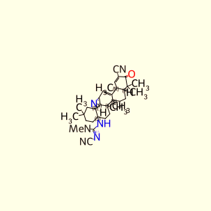 CN/C(=N\C#N)N[C@]12CCC(C)(C)C[C@H]1[C@@]13N=C1C=C1[C@@]4(C)C=C(C#N)C(=O)C(C)(C)[C@@H]4CC[C@@]1(C)[C@]3(C)CC2